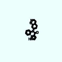 O=C(c1cc[nH]n1)N(C1=CCC2=CC=NOC2=C1)c1ccccc1